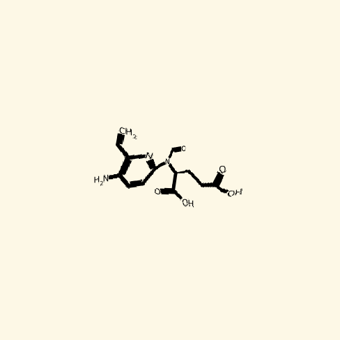 C=Cc1nc(N(C=O)[C@@H](CCC(=O)O)C(=O)O)ccc1N